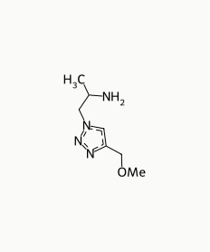 COCc1cn(CC(C)N)nn1